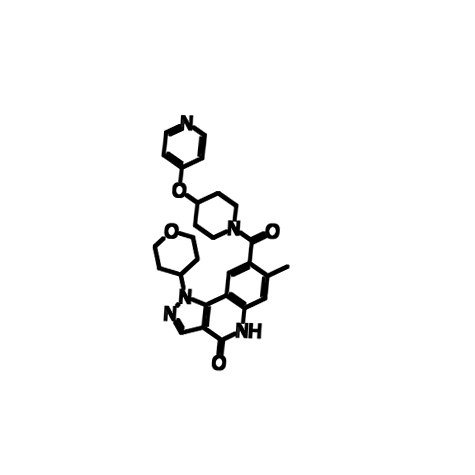 Cc1cc2[nH]c(=O)c3cnn(C4CCOCC4)c3c2cc1C(=O)N1CCC(Oc2ccncc2)CC1